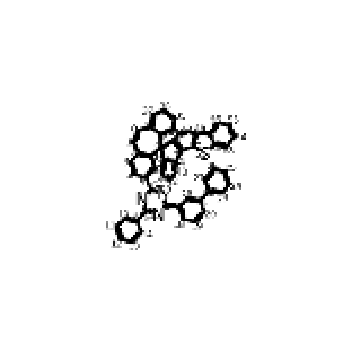 C1=Cc2ccc(-c3nc(-c4ccccc4)nc(-c4cccc(-c5ccccc5)c4)n3)cc2C2(c3ccccc31)c1ccccc1-c1c2ccc2c1sc1ccccc12